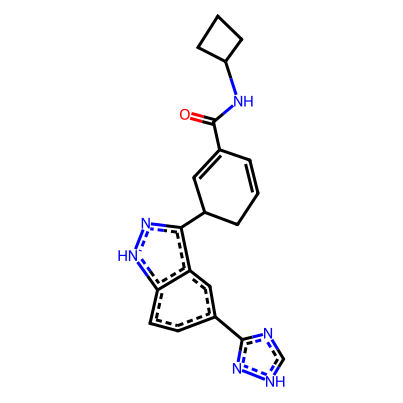 O=C(NC1CCC1)C1=CC(c2n[nH]c3ccc(-c4nc[nH]n4)cc23)CC=C1